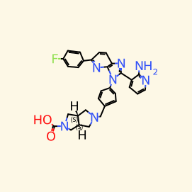 Nc1ncccc1-c1nc2ccc(-c3ccc(F)cc3)nc2n1-c1ccc(CN2C[C@H]3CN(C(=O)O)C[C@@H]3C2)cc1